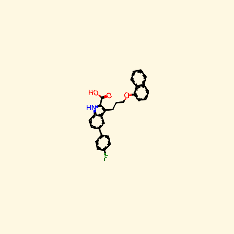 O=C(O)c1[nH]c2ccc(-c3ccc(F)cc3)cc2c1CCCOc1cccc2ccccc12